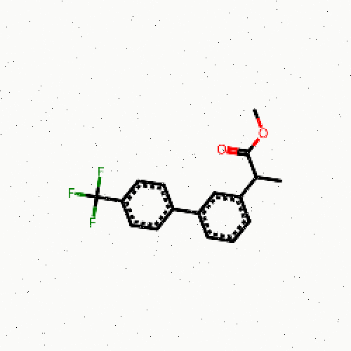 COC(=O)C(C)c1cccc(-c2ccc(C(F)(F)F)cc2)c1